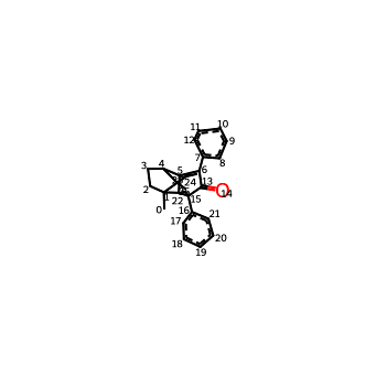 CC12CCC(C3=C(c4ccccc4)C(=O)C(c4ccccc4)=C31)C2(C)C